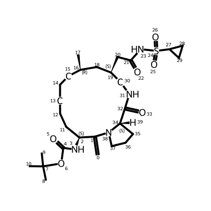 C=C1[C@@H](NC(=O)OC(C)(C)C)CCCCC[C@@H](C)C[C@@H](CC(=O)NS(=O)(=O)C2CC2)CNC(=O)[C@@H]2CCCN12